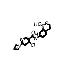 O=C(Nc1ccc2c(c1)B(O)OCC2)c1cnc(N2CCC2)cc1Cl